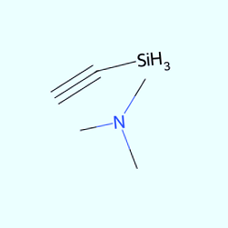 C#C[SiH3].CN(C)C